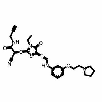 C#CCNC(=O)C(=C=c1sc(=C=CNc2cccc(OCCN3CCCC3)c2)c(=O)n1CC)C#N